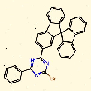 Brc1nc(-c2ccccc2)nc(-c2ccc3c(c2)C2(c4ccccc4-c4ccccc42)c2ccccc2-3)n1